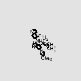 COC1CCN(c2cc(O[C@H](C)CN(C)C)c3c(Nc4ccc5ncccc5c4F)ncnc3c2)C1